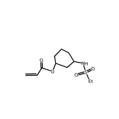 C=CC(=O)OC1CCCC(NS(=O)(=O)CC)C1